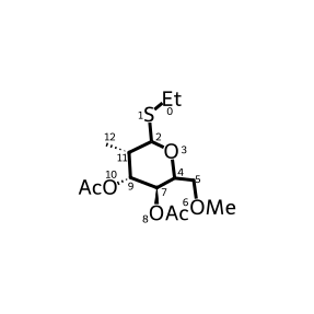 CCSC1OC(COC)[C@@H](OC(C)=O)[C@H](OC(C)=O)[C@@H]1C